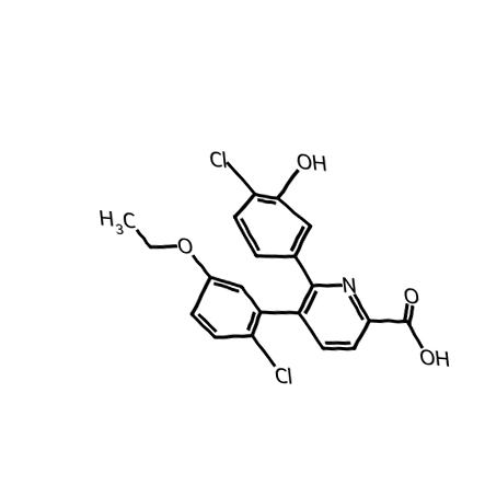 CCOc1ccc(Cl)c(-c2ccc(C(=O)O)nc2-c2ccc(Cl)c(O)c2)c1